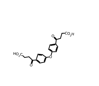 O=C(O)CCC(=O)c1ccc(Oc2ccc(C(=O)CCC(=O)O)cc2)cc1